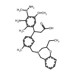 CCC1CN(Cc2cc(C(CC(=O)O)c3cc(OC)c(N(C)N)c(N)c3C)ccc2C)Cc2ccccc2O1